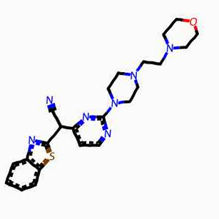 N#CC(c1ccnc(N2CCN(CCN3CCOCC3)CC2)n1)c1nc2ccccc2s1